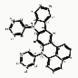 c1cc2c3c(cccc3c1)N(c1cncnc1)c1cc3c(cc1-2)c1ccccc1n3-c1cncnc1